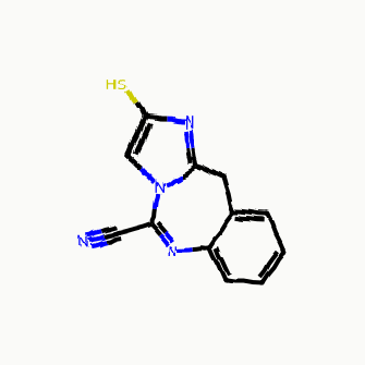 N#CC1=Nc2ccccc2Cc2nc(S)cn21